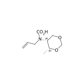 C=CCN(C(=O)O)[C@@H]1COCO[C@@H]1C